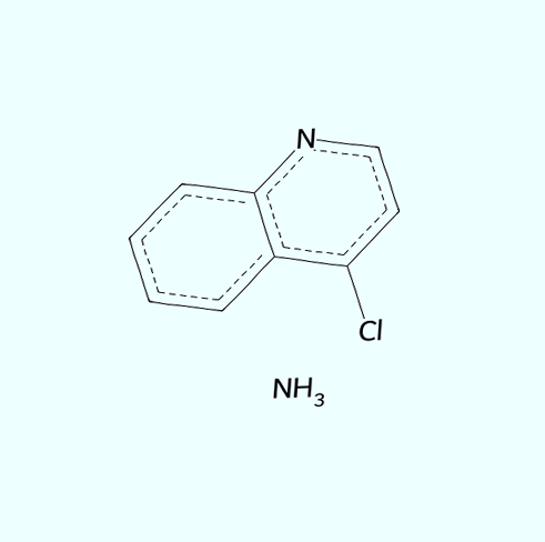 Clc1ccnc2ccccc12.N